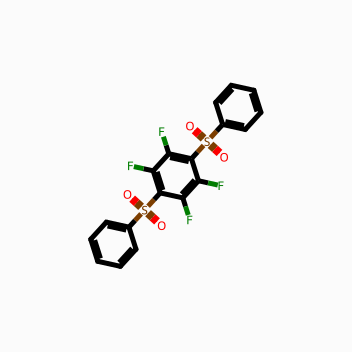 O=S(=O)(c1ccccc1)c1c(F)c(F)c(S(=O)(=O)c2ccccc2)c(F)c1F